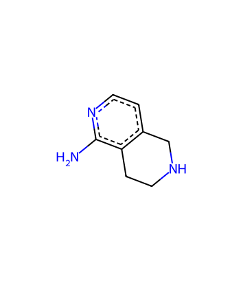 Nc1nccc2c1CCNC2